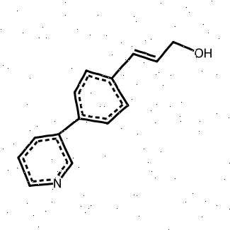 OCC=Cc1ccc(-c2cccnc2)cc1